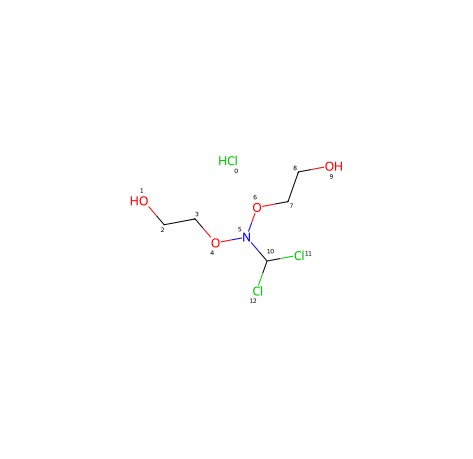 Cl.OCCON(OCCO)C(Cl)Cl